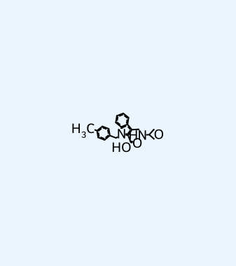 Cc1ccc(Cn2c(C(=O)O)c(CNC3COC3)c3ccccc32)cc1